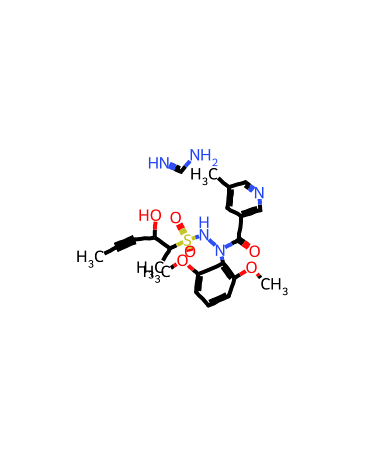 CC#CC(O)C(C)S(=O)(=O)NN(C(=O)c1cncc(C)c1)c1c(OC)cccc1OC.N=CN